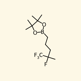 CC(F)(CCCB1OC(C)(C)C(C)(C)O1)C(F)(F)F